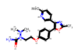 COc1ccc(-c2nc(C(F)(F)F)oc2-c2ccc(OCCN(C(N)=O)N(C)C)cc2)cn1